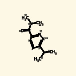 CC(C)c1ccc(C(=O)N(C)C)nn1